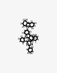 c1ccc(-c2cc(-c3ccccc3-n3c4ccccc4c4cc(-n5c6ccccc6c6ccccc65)ccc43)nc(-c3ccccc3)n2)cc1